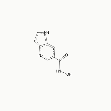 O=C(NO)c1cnc2cc[nH]c2c1